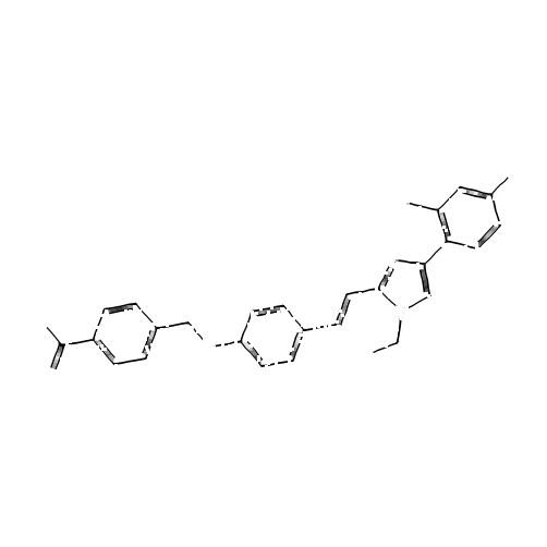 CCn1cc(-c2ccc(Cl)cc2Cl)nc1/C=C/c1ccc(OCc2ccc(C(=O)O)cc2)cc1